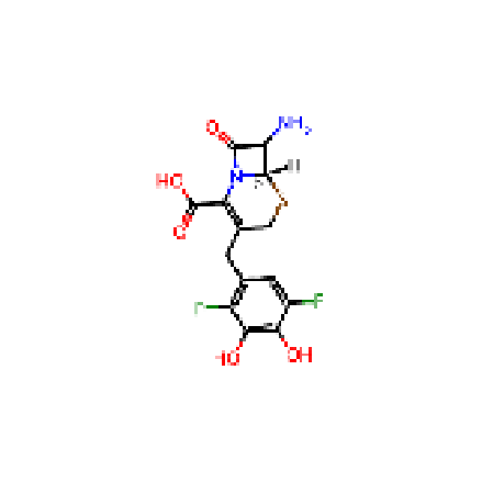 NC1C(=O)N2C(C(=O)O)=C(Cc3cc(F)c(O)c(O)c3F)CS[C@@H]12